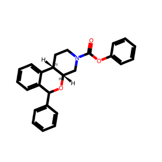 O=C(Oc1ccccc1)N1CC[C@H]2c3ccccc3C(c3ccccc3)O[C@H]2C1